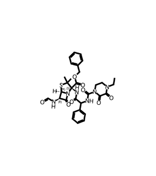 CCN1CCN(C(=O)NC(C(=O)N[C@@]2(C(=O)OCc3ccccc3)N3C(=O)[C@@H](NC=O)[C@H]3SC2(C)C)c2ccccc2)C(=O)C1=O